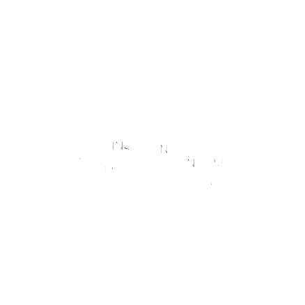 CC(C)(C)CC(=O)N[C@H](c1ccccc1)[C@H](c1ccccc1)N1CCN(C(=O)OC(C)(C)C)CC1